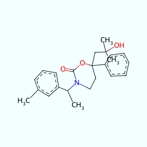 Cc1cccc(C(C)N2CCC(CC(C)(C)O)(c3ccccc3)OC2=O)c1